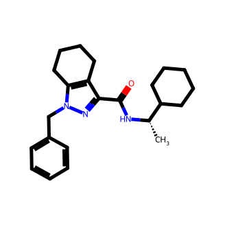 C[C@H](NC(=O)c1nn(Cc2ccccc2)c2c1CCCC2)C1CCCCC1